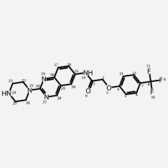 O=C(COc1ccc(C(F)(F)F)cc1)Nc1ccc2nc(N3CCNCC3)ncc2c1